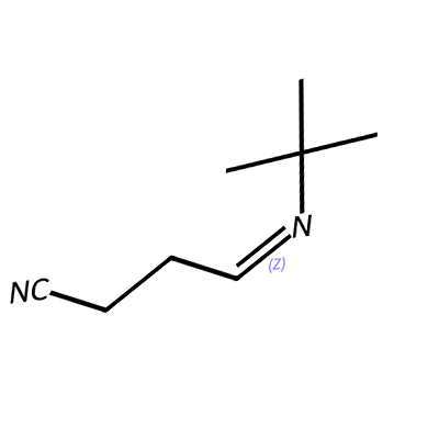 CC(C)(C)/N=C\CCC#N